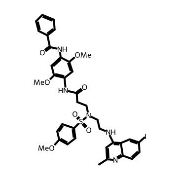 COc1ccc(S(=O)(=O)N(CCNc2cc(C)nc3ccc(I)cc23)CCC(=O)Nc2cc(OC)c(NC(=O)c3ccccc3)cc2OC)cc1